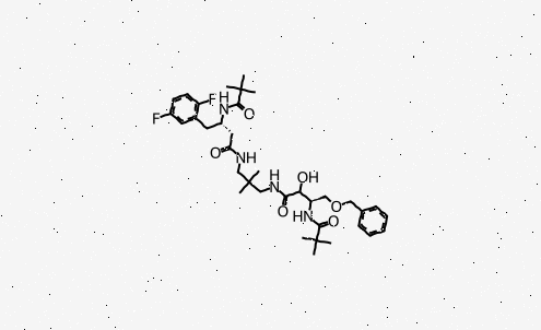 CC(C)(CNC(=O)C[C@H](Cc1cc(F)ccc1F)NC(=O)C(C)(C)C)CNC(=O)C(O)[C@@H](COCc1ccccc1)NC(=O)C(C)(C)C